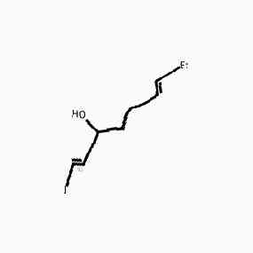 CCC=CCCC(O)/C=C/I